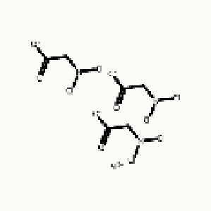 O=C([O-])CN(Cl)Cl.O=C([O-])CN(Cl)Cl.O=C([O-])CN(Cl)Cl.[Al+3]